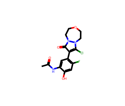 CC(=O)Nc1cc(-c2c(Cl)n3n(c2=O)CCOCC3)c(F)cc1O